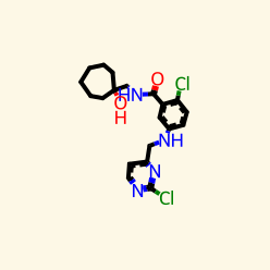 O=C(NCC1(O)CCCCCC1)c1cc(NCc2ccnc(Cl)n2)ccc1Cl